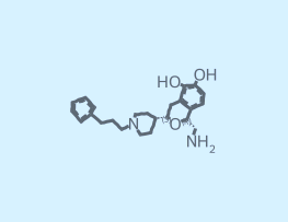 NC[C@@H]1O[C@H](C2CCN(CCCc3ccccc3)CC2)Cc2c1ccc(O)c2O